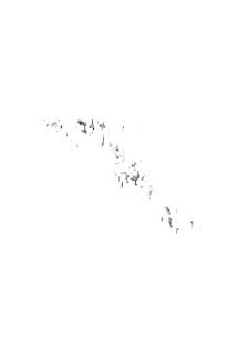 CCCCOCN(C(=O)[C@@H](NC(=O)[C@H]1CCCCN1C)C(C)CC)[C@@H](C[C@H](OC(C)=O)c1nc(C(=O)N[C@@H](Cc2ccc(O)cc2)C[C@H](C)C(=O)NNC(=O)OCCSSC[C@@H](C)NC(=O)[C@H](CC(=O)O)NC(=O)[C@H](CC(=O)O)NC(=O)Cc2ccc(CNC(=O)NCCCC[C@@H](C)NC(=O)N[C@@H](CCC(=O)O)C(=O)O)cc2)cs1)C(C)C